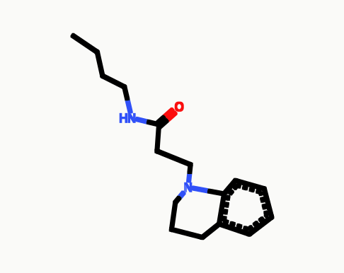 CCCCNC(=O)CCN1CCCc2ccccc21